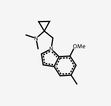 COc1cc(C)cc2ccn(CC3(N(C)C)CC3)c12